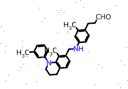 Cc1cccc(N2CCCc3ccc(CNc4ccc(CCC=O)c(C)c4)c(C)c32)c1